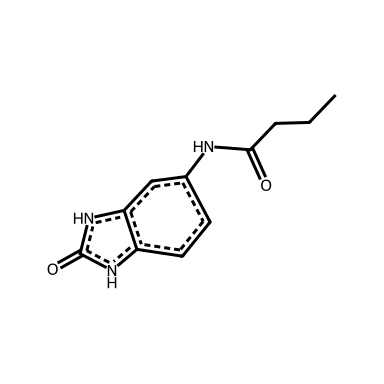 CCCC(=O)Nc1ccc2[nH]c(=O)[nH]c2c1